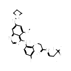 COc1cc(N=S2(=O)CCC2)cc2ncnc(Nc3ccc(F)cc3O[C@H](C)C(=O)/N=C/[C@@H](C)C(F)(F)F)c12